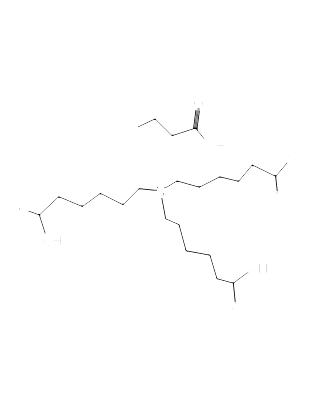 CC(C)CCCCCN(CCCCCC(C)C)CCCCCC(C)C.CCCC(=O)O